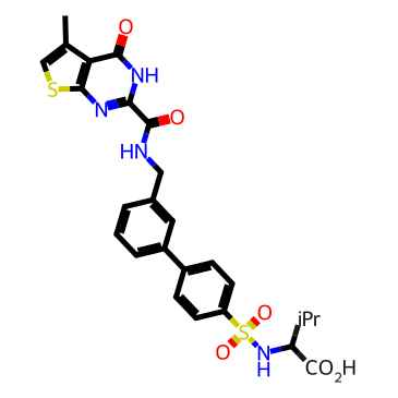 Cc1csc2nc(C(=O)NCc3cccc(-c4ccc(S(=O)(=O)NC(C(=O)O)C(C)C)cc4)c3)[nH]c(=O)c12